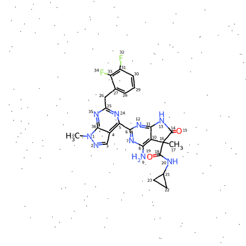 Cn1ncc2c(-c3nc(N)c4c(n3)NC(=O)C4(C)C(=O)NC3CC3)nc(Cc3cccc(F)c3F)nc21